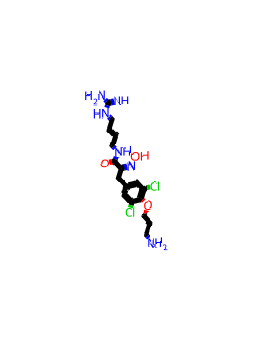 N=C(N)NCCCCNC(=O)C(Cc1cc(Cl)c(OCCCN)c(Cl)c1)=NO